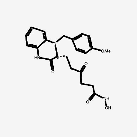 COc1ccc(CN2c3ccccc3NC(=O)[C@H]2CCC(=O)CCC(=O)NO)cc1